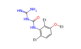 CCOc1ccc(CC)c(NC(=O)NC(=N)N)c1CC